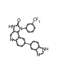 O=c1[nH]c2cnc3ccc(-c4ccc5[nH]cnc5c4)cc3c2n1-c1cccc(C(F)(F)F)c1